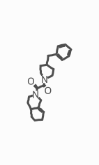 O=C(C(=O)N1CCC2CCCC=C2C1)N1CCC(Cc2ccccc2)CC1